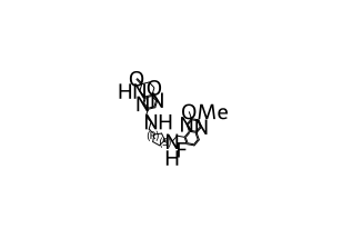 COc1cnc2ccc(F)c(CN[C@H]3CC[C@@H](CNCc4cnc5c(n4)NC(=O)CO5)C3)c2n1